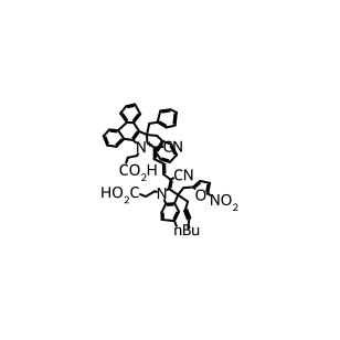 CC#CCC1(Cc2ccc([N+](=O)[O-])o2)/C(=C(C#N)/C=C/C=C(\C#N)C2=[N+](CCC(=O)O)c3c(c4ccccc4c4ccccc34)C2(Cc2ccccc2)Cc2ccccc2)N(CCC(=O)O)c2ccc(CCCC)cc21